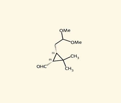 COC(C[C@H]1[C@@H](C=O)C1(C)C)OC